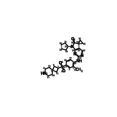 Cc1cc(S(=O)(=O)C2CC3(CCNCC3)C2)ccc1Nc1ncc2c(n1)N(C1CCCC1)C(=O)C21CC1